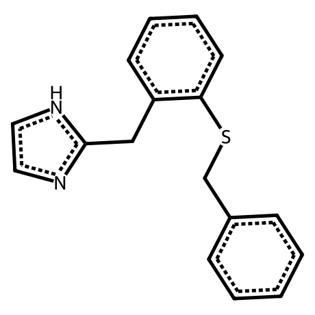 c1ccc(CSc2ccccc2Cc2ncc[nH]2)cc1